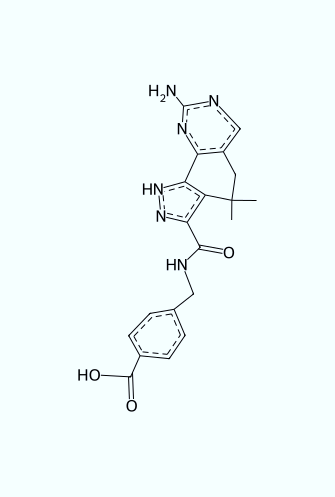 CC1(C)Cc2cnc(N)nc2-c2[nH]nc(C(=O)NCc3ccc(C(=O)O)cc3)c21